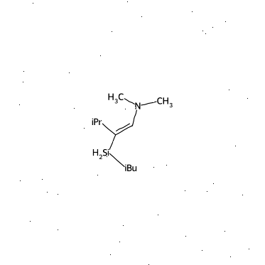 CCC(C)[SiH2]C(=CN(C)C)C(C)C